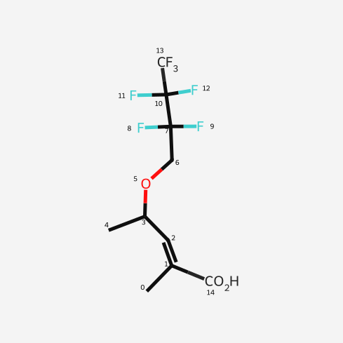 CC(=CC(C)OCC(F)(F)C(F)(F)C(F)(F)F)C(=O)O